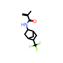 C=C(C)C(=O)NC1CC2CC1CC2C(F)(F)F